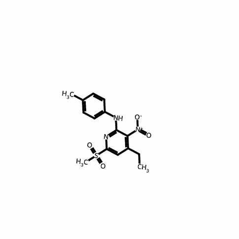 CCc1cc(S(C)(=O)=O)nc(Nc2ccc(C)cc2)c1[N+](=O)[O-]